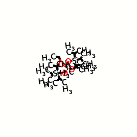 CC[O][Ti]([O]CC)([O][Si](C(C)C)(C(C)C)C(C)C)[O][Si](C(C)C)(C(C)C)C(C)C